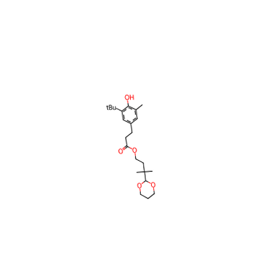 Cc1cc(CCC(=O)OCCC(C)(C)C2OCCCO2)cc(C(C)(C)C)c1O